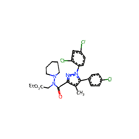 CCOC(=O)CN(C(=O)c1nn(-c2ccc(Cl)cc2Cl)c(-c2ccc(Cl)cc2)c1C)N1CCCCC1